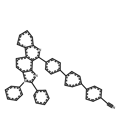 N#Cc1ccc(-c2ccc(-c3ccc(-c4nc5ccccc5c5ccc6c(nc(-c7ccccc7)n6-c6ccccc6)c45)cc3)cc2)cc1